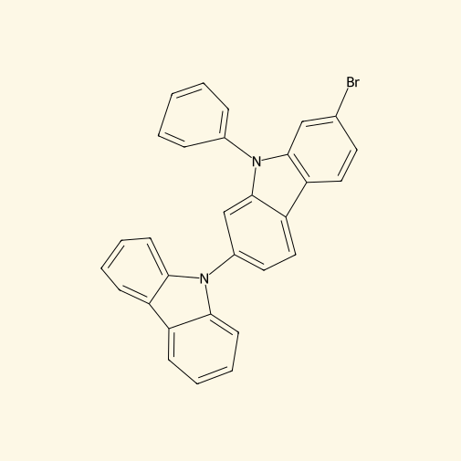 Brc1ccc2c3ccc(-n4c5ccccc5c5ccccc54)cc3n(-c3ccccc3)c2c1